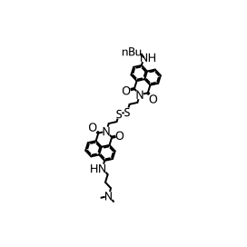 CCCCNc1ccc2c3c(cccc13)C(=O)N(CCSSCCN1C(=O)c3cccc4c(NCCCN(C)C)ccc(c34)C1=O)C2=O